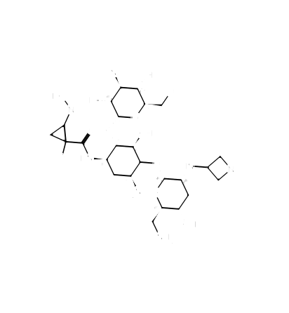 CNC1CC1(O)C(=O)N[C@@H]1C[C@H](N)C(O[C@H]2O[C@H](CN)[C@@H](O)C[C@H]2NC2CNC2)[C@H](O)[C@H]1O[C@H]1O[C@H](CO)[C@@H](O)[C@H](N)[C@H]1O